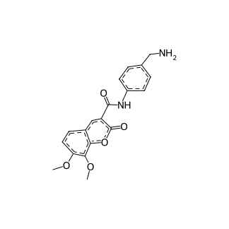 COc1ccc2cc(C(=O)Nc3ccc(CN)cc3)c(=O)oc2c1OC